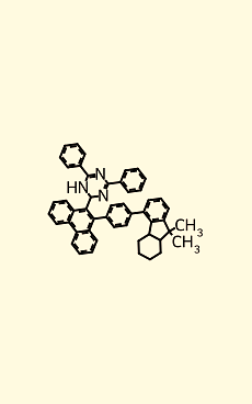 CC1(C)c2cccc(-c3ccc(-c4c(C5N=C(c6ccccc6)N=C(c6ccccc6)N5)c5ccccc5c5ccccc45)cc3)c2C2CCCCC21